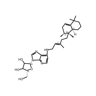 C/C(=C\CNc1ccnc2c1ncn2[C@@H]1O[C@H](CO)C(O)C1O)CC[C@@]1(C)[C@@H]2CCCC(C)(C)C2=CC[C@@H]1C